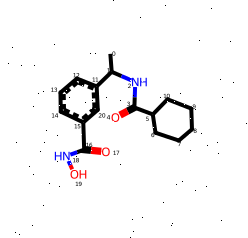 CC(NC(=O)C1CCCCC1)c1cccc(C(=O)NO)c1